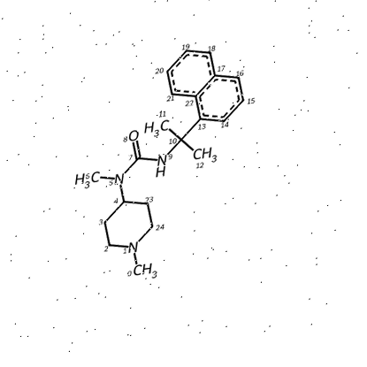 CN1CCC(N(C)C(=O)NC(C)(C)c2cccc3ccccc23)CC1